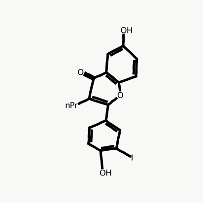 CCCc1c(-c2ccc(O)c(I)c2)oc2ccc(O)cc2c1=O